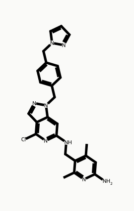 Cc1cc(N)nc(C)c1CNc1cc2c(cnn2Cc2ccc(Cn3cccn3)cc2)c(Cl)n1